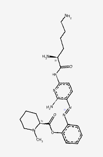 CN1CCCC[C@H]1C(=O)Oc1ccccc1/N=N/c1ccc(NC(=O)[C@@H](N)CCCCN)nc1N